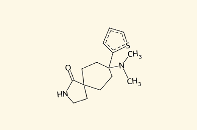 CN(C)C1(c2cccs2)CCC2(CCNC2=O)CC1